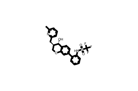 Cc1cccc(C[C@@H]2COc3cc(-c4ccccc4NS(=O)(=O)C(F)(F)F)ccc3[C@H]2O)n1